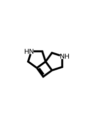 C1=C2CNCC23CNCC13